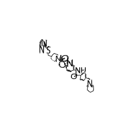 Cn1ccnc1SCC1CCN(C(=O)Oc2ccc(NC(=O)c3ccc(CN4CCCCC4)cc3)cn2)CC1